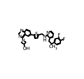 CC(Cc1cccnc1NCc1ccc(-c2ccc3ncnc(N4CC(O)C4)c3c2)s1)c1ccc(F)c(F)c1